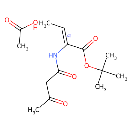 C/C=C(\NC(=O)CC(C)=O)C(=O)OC(C)(C)C.CC(=O)O